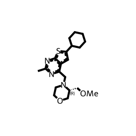 COC[C@@H]1COCCN1Cc1nc(C)nc2sc(C3CCCCC3)cc12